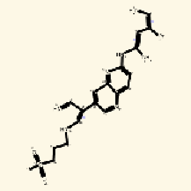 CC(C)C(=C/N)/C=C(\N)Nc1ccc2ncc(/C(C=N)=C/NCCCS(C)(=O)=O)cc2n1